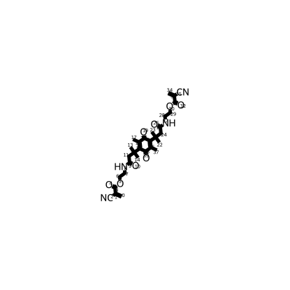 C=C(C#N)C(=O)OCCNC(=O)CC(C)(C)C1=C(C)C(=O)C(C(C)(C)CC(=O)NCCOC(=O)C(=C)C#N)=C(C)C1=O